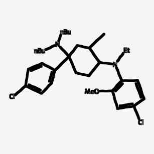 CCCCN(CCCC)C1(c2ccc(Cl)cc2)CCC(N(CC)c2ccc(Cl)cc2OC)C(C)C1